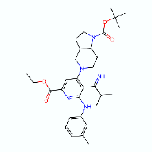 CCOC(=O)c1cc(N2CCC3C(CCN3C(=O)OC(C)(C)C)C2)c(C(=N)C(C)C)c(Nc2cccc(C)c2)n1